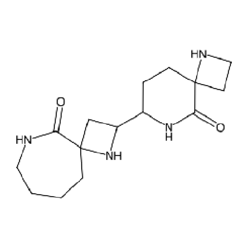 O=C1NC(C2CC3(CCCCNC3=O)N2)CCC12CCN2